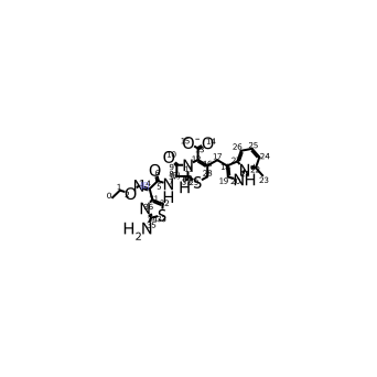 CCO/N=C(/C(=O)N[C@@H]1C(=O)N2C(C(=O)[O-])=C(Cc3c[nH][n+]4c(C)cccc34)CS[C@H]12)c1csc(N)n1